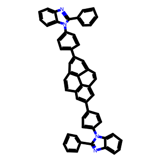 c1ccc(-c2nc3ccccc3n2-c2ccc(-c3cc4ccc5cc(-c6ccc(-n7c(-c8ccccc8)nc8ccccc87)cc6)cc6ccc(c3)c4c56)cc2)cc1